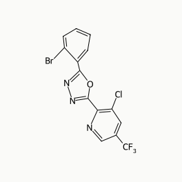 FC(F)(F)c1cnc(-c2nnc(-c3ccccc3Br)o2)c(Cl)c1